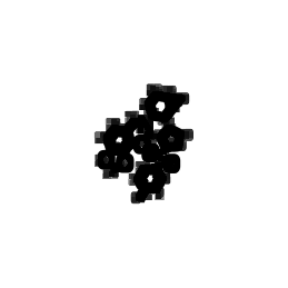 Cc1ccc(S(=O)(=O)[C@@H]2CCC[C@H]2C(=O)N(Cc2ccc3c(c2)OCO3)C2CCC3CC3C2)cc1